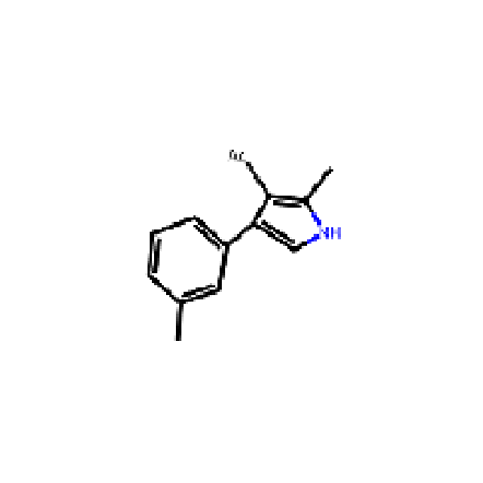 CC(=O)c1c(-c2cccc(C)c2)c[nH]c1C